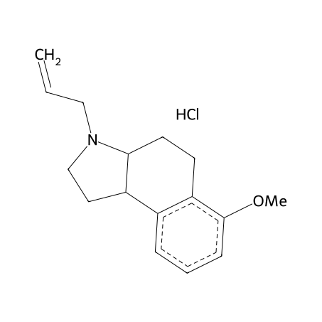 C=CCN1CCC2c3cccc(OC)c3CCC21.Cl